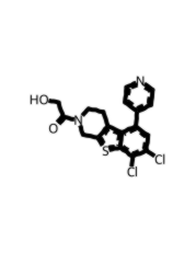 O=C(CO)N1CCc2c(sc3c(Cl)c(Cl)cc(-c4ccncc4)c23)C1